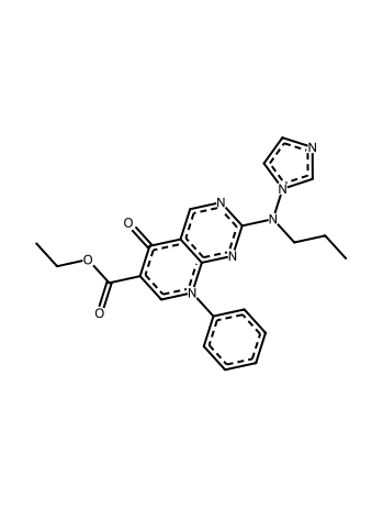 CCCN(c1ncc2c(=O)c(C(=O)OCC)cn(-c3ccccc3)c2n1)n1ccnc1